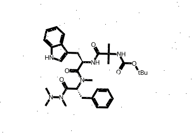 CN(C(=O)[C@@H](Cc1c[nH]c2ccccc12)NC(=O)C(C)(C)NC(=O)OC(C)(C)C)[C@H](Cc1ccccc1)C(=O)N(C)N(C)C